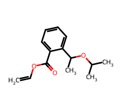 C=COC(=O)c1ccccc1C(C)OC(C)C